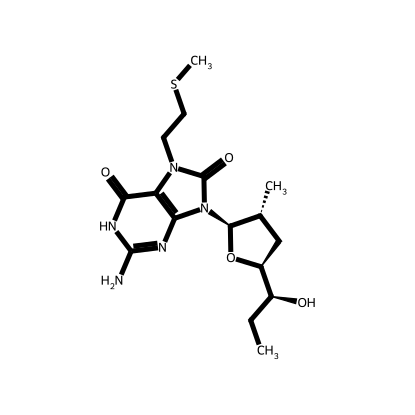 CC[C@H](O)[C@@H]1C[C@@H](C)[C@H](n2c(=O)n(CCSC)c3c(=O)[nH]c(N)nc32)O1